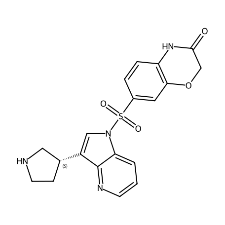 O=C1COc2cc(S(=O)(=O)n3cc([C@@H]4CCNC4)c4ncccc43)ccc2N1